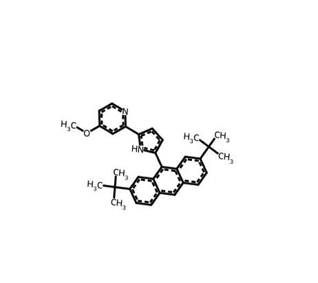 COc1ccnc(-c2ccc(-c3c4cc(C(C)(C)C)ccc4cc4ccc(C(C)(C)C)cc34)[nH]2)c1